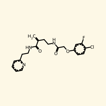 C=C(CCNC(=O)COc1ccc(Cl)c(F)c1)C(=O)NCCc1ccccn1